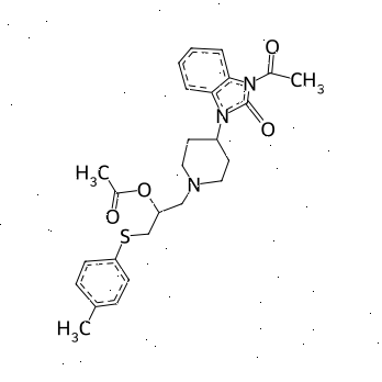 CC(=O)OC(CSc1ccc(C)cc1)CN1CCC(n2c(=O)n(C(C)=O)c3ccccc32)CC1